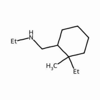 CCNCC1CCCCC1(C)CC